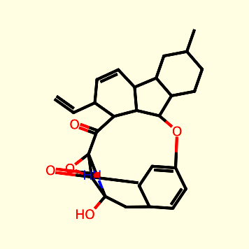 C=CC1C=CC2C3CC(C)CCC3C3OC4=CCC(C=C4)CC4(O)NC(=O)C5(OC45)C(=O)C1C23